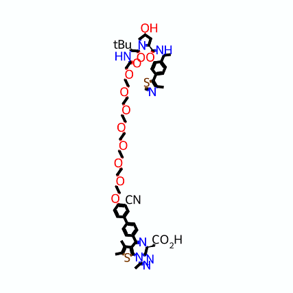 Cc1ncsc1-c1ccc(C(C)NC(=O)[C@@H]2C[C@@H](O)CN2C(=O)C(NC(=O)COCCOCCOCCOCCOCCOCCOCCOc2ccc(-c3ccc(C4=N[C@@H](CC(=O)O)c5nnc(C)n5-c5sc(C)c(C)c54)cc3)cc2C#N)C(C)(C)C)cc1